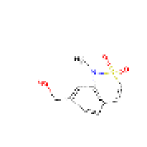 CN1c2cc(CO)ccc2C=CS1(=O)=O